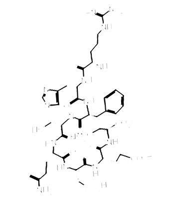 N=C(N)NCCC[C@H](N)C(=O)N[C@@H](Cc1c[nH]cn1)C(=O)N[C@@H](Cc1ccccc1)C(=O)N[C@@H](CO)C(=O)N[C@@H](CCC(N)=O)C(=O)N[C@@H](CC(=O)O)C(=O)N[C@@H](CCC(=O)O)C(=O)N[C@@H](CC(=O)O)C(=O)O